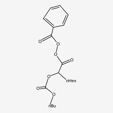 CCCCCCC(OC(=O)OCCCC)C(=O)OOC(=O)c1ccccc1